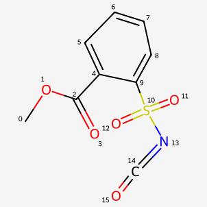 COC(=O)c1ccccc1S(=O)(=O)N=C=O